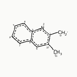 [CH2]c1nc2ccccc2cc1C